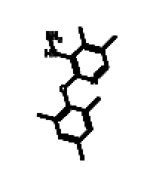 Cc1cc(C)c(Oc2ncc(C)c(C)c2NN)c(C)c1